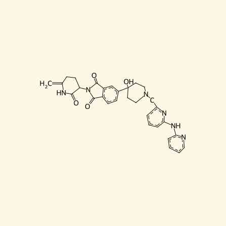 C=C1CCC(N2C(=O)c3ccc(C4(O)CCN(Cc5cccc(Nc6ccccn6)n5)CC4)cc3C2=O)C(=O)N1